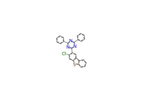 Clc1cc2sc3ccccc3c2cc1-c1nc(-c2ccccc2)nc(-c2ccccc2)n1